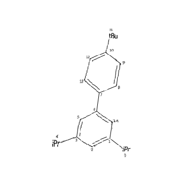 CC(C)c1[c]c(C(C)C)cc(-c2ccc(C(C)(C)C)cc2)c1